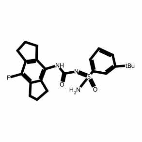 CC(C)(C)c1cccc(S(N)(=O)=NC(=O)Nc2c3c(c(F)c4c2CCC4)CCC3)c1